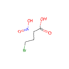 O=C(O)CCCBr.O=NO